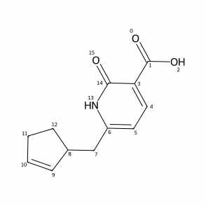 O=C(O)c1ccc(CC2C=CCC2)[nH]c1=O